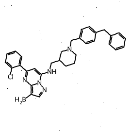 Bc1cnn2c(NCC3CCCN(Cc4ccc(Cc5ccccc5)cc4)C3)cc(-c3ccccc3Cl)nc12